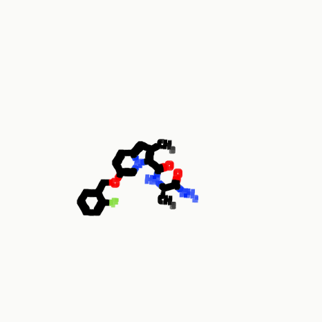 Cc1cc2ccc(OCc3ccccc3F)cn2c1C(=O)N[C@@H](C)C(N)=O